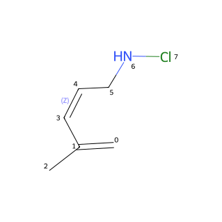 C=C(C)/C=C\CNCl